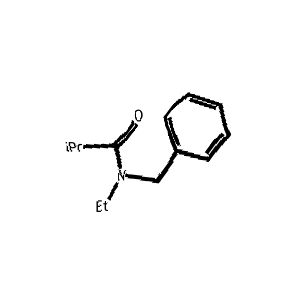 [CH2]CN(Cc1ccccc1)C(=O)C(C)C